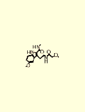 CNC(=O)c1[nH]c2ccc(OC)cc2c1CCNC(=O)COC